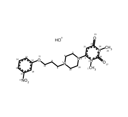 Cl.Cn1c(N2CCN(CCCOc3cccc([N+](=O)[O-])c3)CC2)cc(=O)n(C)c1=O